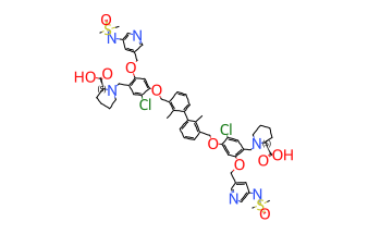 Cc1c(COc2cc(OCc3cncc(N=S(C)(C)=O)c3)c(CN3CCCC[C@H]3C(=O)O)cc2Cl)cccc1-c1cccc(COc2cc(OCc3cncc(N=S(C)(C)=O)c3)c(CN3CCCC[C@H]3C(=O)O)cc2Cl)c1C